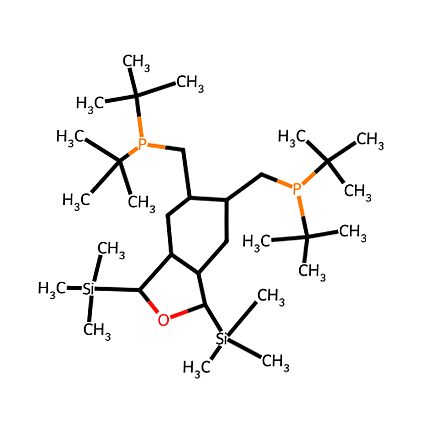 CC(C)(C)P(CC1CC2C(CC1CP(C(C)(C)C)C(C)(C)C)C([Si](C)(C)C)OC2[Si](C)(C)C)C(C)(C)C